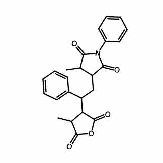 CC1C(=O)N(c2ccccc2)C(=O)C1CC(c1ccccc1)C1C(=O)OC(=O)C1C